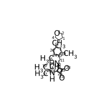 C1CCOC1.Cc1cc(C)c(CNc2c(NC(C)(C)C)c(=O)c2=O)c(C)c1